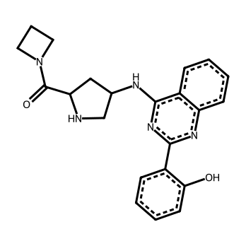 O=C(C1CC(Nc2nc(-c3ccccc3O)nc3ccccc23)CN1)N1CCC1